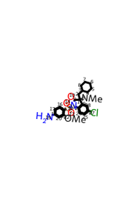 CNC1(CC2CCCCC2)C(=O)N(S(=O)(=O)c2ccc(N)cc2OC)c2ccc(Cl)cc21